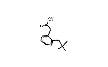 CC(C)(C)Cc1ccccc1CC(=O)O